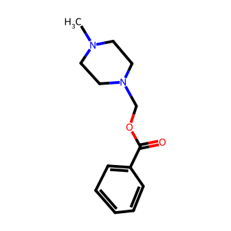 CN1CCN(COC(=O)c2ccccc2)CC1